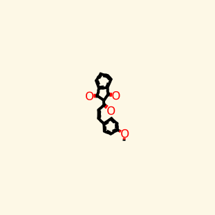 COc1ccc(/C=C\C(=O)C2C(=O)c3ccccc3C2=O)cc1